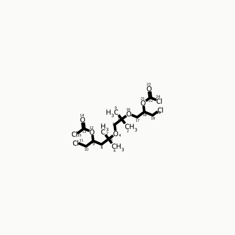 CC(C)(COC(C)(C)CC(CCl)OC(=O)Cl)OCC(CCl)OC(=O)Cl